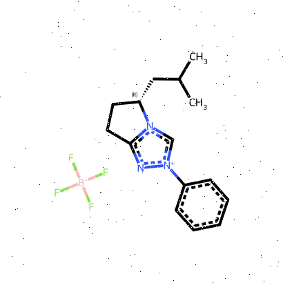 CC(C)C[C@H]1CCc2n[n+](-c3ccccc3)cn21.F[B-](F)(F)F